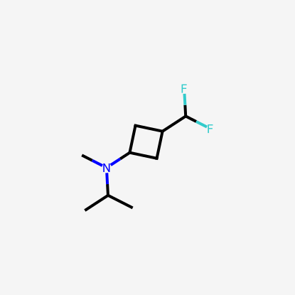 CC(C)N(C)C1CC(C(F)F)C1